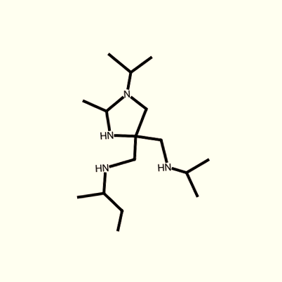 CCC(C)NCC1(CNC(C)C)CN(C(C)C)C(C)N1